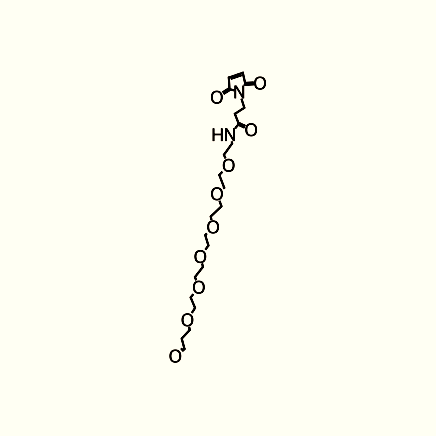 O=CCCOCCOCCOCCOCCOCCOCCNC(=O)CCN1C(=O)C=CC1=O